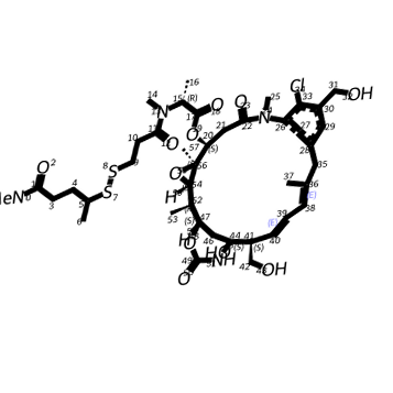 CNC(=O)CCC(C)SSCCC(=O)N(C)[C@H](C)C(=O)O[C@H]1CC(=O)N(C)c2cc(cc(CO)c2Cl)C/C(C)=C/C=C/[C@@H](CO)[C@@]2(O)C[C@H](OC(=O)N2)[C@@H](C)[C@@H]2O[C@@]12C